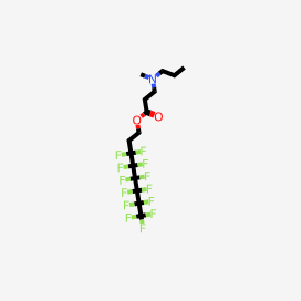 CCCN(C)CCC(=O)OCCC(F)(F)C(F)(F)C(F)(F)C(F)(F)C(F)(F)C(F)(F)F